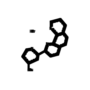 Br.CCCCc1ccnc(-c2ccc3ccc4cccnc4c3n2)c1